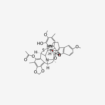 COc1ccc2oc3c(c2c1)CCN[C@]31CS[C@@H]2c3c(OC(C)=O)c(C)c4c(c3[C@H](COC1=O)N1[C@@H]2C2c3c(cc(C)c(OC)c3O)C[C@@H]([C@@H]1C)N2C)OCO4